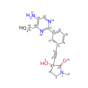 CN1CCC(O)(C#Cc2cccc(-c3ncc(N)c(C(=O)O)n3)c2)C1=O